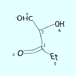 CCC(=O)C(O)[C]=O